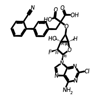 N#Cc1ccccc1-c1ccc(CC(OC2[C@H]3O[C@@H](n4cnc5c(N)nc(Cl)nc54)[C@@H](F)[C@@]23O)(C(=O)O)C(=O)O)cc1